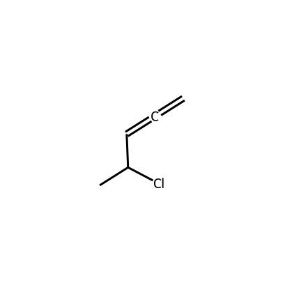 C=C=CC(C)Cl